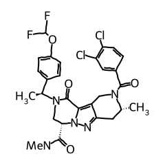 CNC(=O)[C@@H]1CN([C@@H](C)c2ccc(OC(F)F)cc2)C(=O)c2c3c(nn21)C[C@@H](C)N(C(=O)c1ccc(Cl)c(Cl)c1)C3